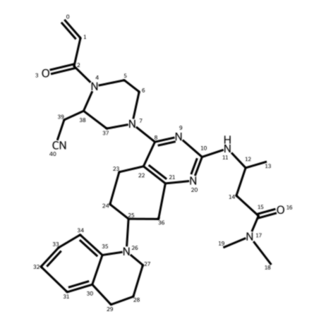 C=CC(=O)N1CCN(c2nc(NC(C)CC(=O)N(C)C)nc3c2CCC(N2CCCc4ccccc42)C3)CC1CC#N